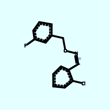 Fc1cccc(CO/N=[C]\c2ccccc2Cl)c1